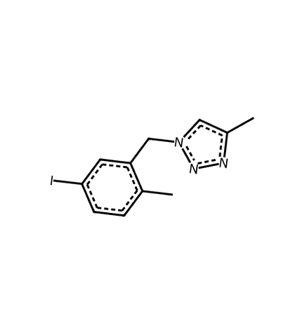 Cc1cn(Cc2cc(I)ccc2C)nn1